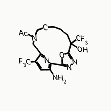 CC(=O)N1CCCCCC(O)(C(F)(F)F)c2nnc(o2)-c2nc(c(C(F)(F)F)cc2N)C1